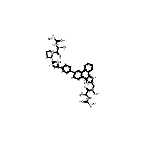 CCCN(Cc1nc2c3ccccc3c3cc(-c4ccc(-c5cnc([C@@H]6CCCN6C(=O)[C@@H](NC(=O)OC)C(C)C)[nH]5)cc4)ccc3c2[nH]1)C(=O)[C@@H](NC(=O)OC)C(C)C